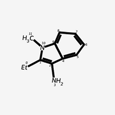 CCc1c(N)c2ccccc2n1C